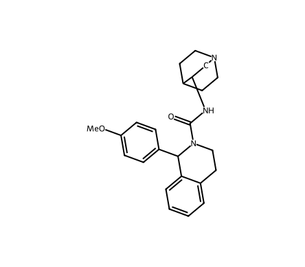 COc1ccc(C2c3ccccc3CCN2C(=O)NC2CN3CCC2CC3)cc1